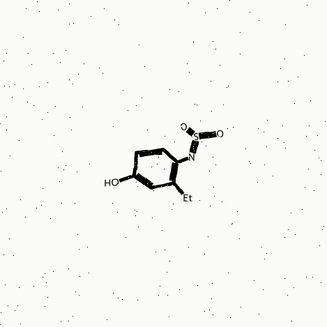 CCc1cc(O)ccc1N=S(=O)=O